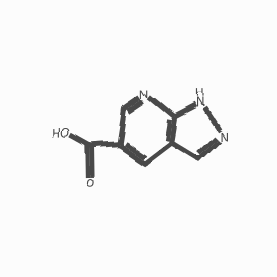 O=C(O)c1cnc2[nH]ncc2c1